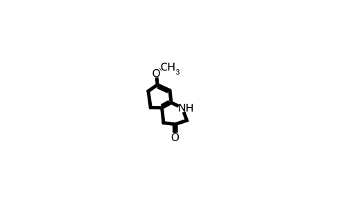 COC1=CC2=C(CC1)CC(=O)CN2